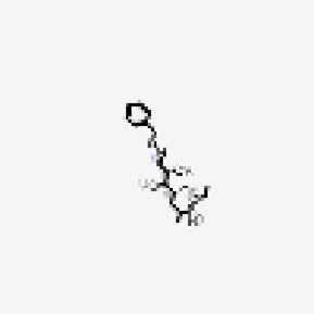 CCO[PH](=O)C(C)C[C@@H](O)[C@@H](O)[C@@H](O)/C=N/OCc1ccccc1